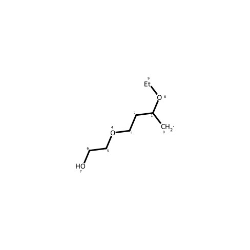 [CH2]C(CCOCCO)OCC